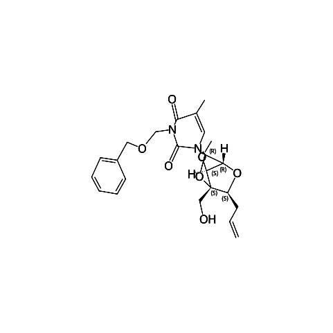 C=CC[C@@H]1O[C@H]2[C@H](n3cc(C)c(=O)n(COCc4ccccc4)c3=O)O[C@]1(CO)[C@H]2OC